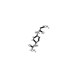 C=CC(=O)Nc1ccc(NC(C)=O)cc1